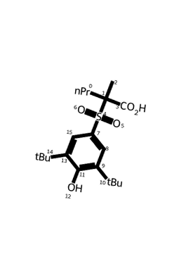 CCCC(C)(C(=O)O)S(=O)(=O)c1cc(C(C)(C)C)c(O)c(C(C)(C)C)c1